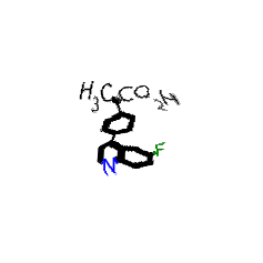 CC(C(=O)O)[C@H]1CC[C@@H](c2ccnc3ccc(F)cc32)CC1